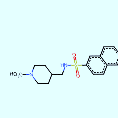 O=C(O)N1CCC(CNS(=O)(=O)c2ccc3ccccc3c2)CC1